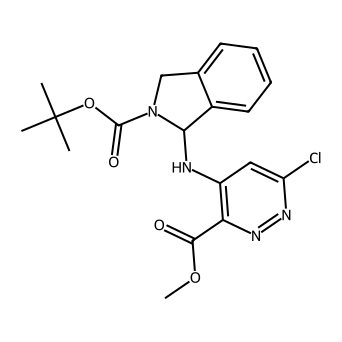 COC(=O)c1nnc(Cl)cc1NC1c2ccccc2CN1C(=O)OC(C)(C)C